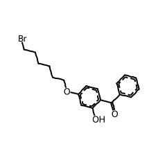 O=C(c1ccccc1)c1ccc(OCCCCCCBr)cc1O